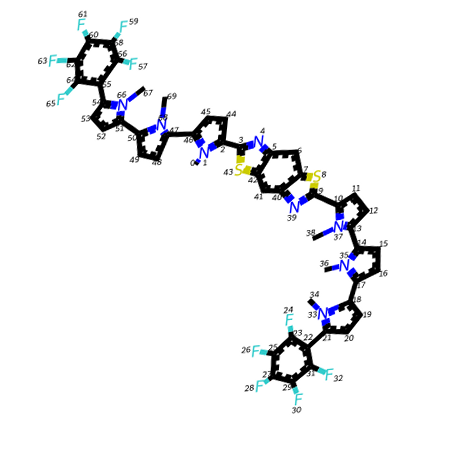 Cn1c(-c2nc3cc4sc(-c5ccc(-c6ccc(-c7ccc(-c8c(F)c(F)c(F)c(F)c8F)n7C)n6C)n5C)nc4cc3s2)ccc1-c1ccc(-c2ccc(-c3c(F)c(F)c(F)c(F)c3F)n2C)n1C